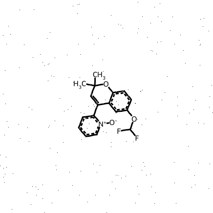 CC1(C)C=C(c2cccc[n+]2[O-])c2cc(OC(F)F)ccc2O1